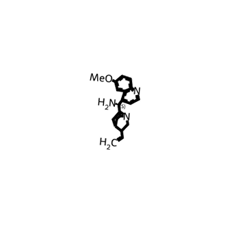 C=CC1CN2CCC1CC2[C@@H](N)c1ccnc2ccc(OC)cc12